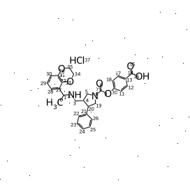 CC(NCC1CN(C(=O)Oc2ccc(C(=O)O)cc2)CC1c1ccccc1)c1cccc2c1OCCO2.Cl